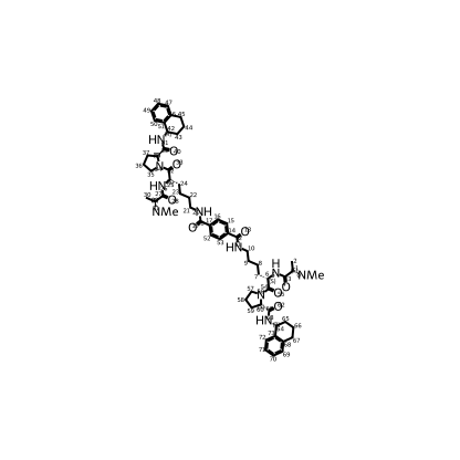 CN[C@@H](C)C(=O)N[C@@H](CCCCNC(=O)c1ccc(C(=O)NCCCC[C@H](NC(=O)[C@H](C)NC)C(=O)N2CCC[C@H]2C(=O)N[C@@H]2CCCc3ccccc32)cc1)C(=O)N1CCC[C@H]1C(=O)N[C@@H]1CCCc2ccccc21